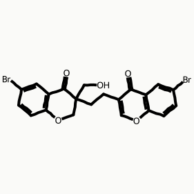 O=C1c2cc(Br)ccc2OCC1(CO)CCc1coc2ccc(Br)cc2c1=O